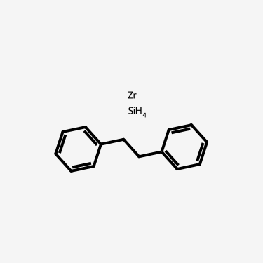 [SiH4].[Zr].c1ccc(CCc2ccccc2)cc1